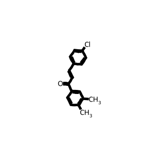 Cc1ccc(C(=O)C=Cc2ccc(Cl)cc2)cc1C